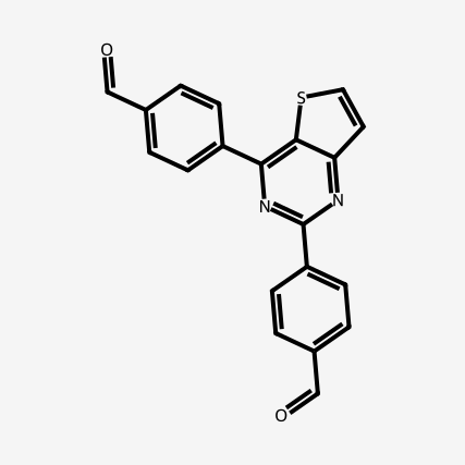 O=Cc1ccc(-c2nc(-c3ccc(C=O)cc3)c3sccc3n2)cc1